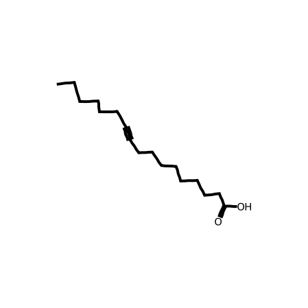 CCCCCCC#CCCCCCCCCC(=O)O